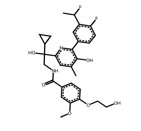 COc1cc(C(=O)NCC(O)(c2cc(C)c(O)c(-c3ccc(F)c(C(C)F)c3)n2)C2CC2)ccc1OCCO